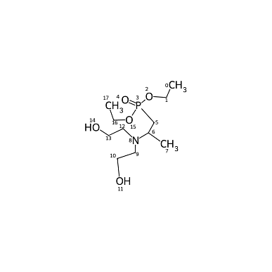 CCOP(=O)(CC(C)N(CCO)CCO)OCC